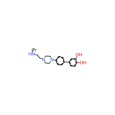 CC(C)NCCN1CCN(c2ccc(-c3ccc(O)c(O)c3)cc2)CC1